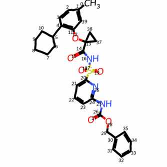 Cc1ccc(C2CCCCC2)c(OC2(C(=O)NS(=O)(=O)c3cccc(NC(=O)OCc4ccccc4)n3)CC2)c1